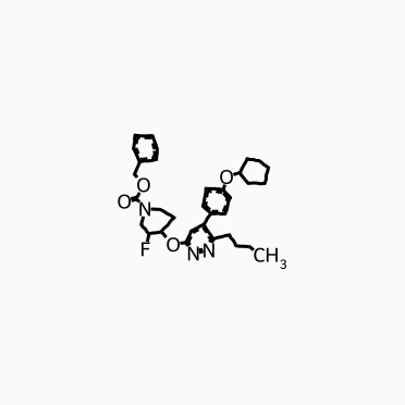 CCCCc1nnc(OC2CCN(C(=O)OCc3ccccc3)CC2F)cc1-c1ccc(OC2CCCCC2)cc1